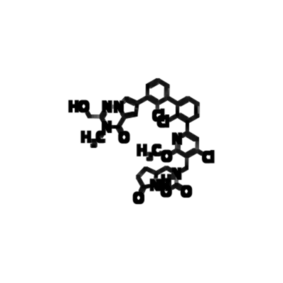 COc1nc(-c2cccc(-c3cccc(-c4cc5c(=O)n(C)c(CO)nn5c4)c3Cl)c2Cl)cc(Cl)c1CN(CC1CCC(=O)N1)C(=O)O